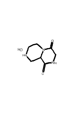 Cl.O=C1NCC(=O)N2CCNCC12